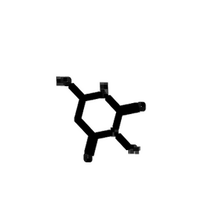 CC(C)N1C(=O)CC(O)NC1=O